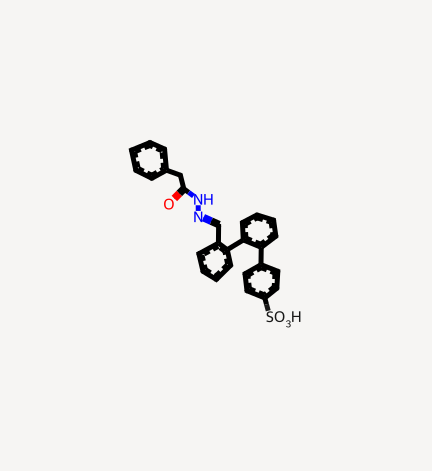 O=C(Cc1ccccc1)NN=Cc1ccccc1-c1ccccc1-c1ccc(S(=O)(=O)O)cc1